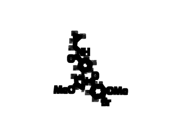 COc1cc(C(=O)N2CC(OC)C[C@@H]2c2cccc(C(=O)NCC3CC3)c2)ccc1Br